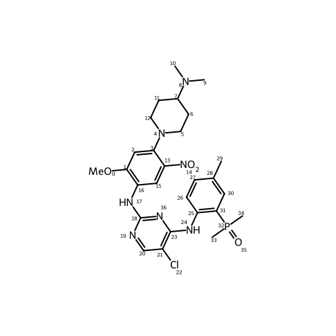 COc1cc(N2CCC(N(C)C)CC2)c([N+](=O)[O-])cc1Nc1ncc(Cl)c(Nc2ccc(C)cc2P(C)(C)=O)n1